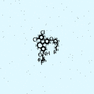 O=C(Nc1ccc2c(c1)CCCC(c1ccc(Cl)cc1Cl)=C2c1ccc(OC2CCN(CCCF)C2)cc1)C1CC1(F)F